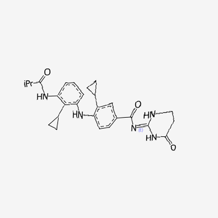 CC(C)C(=O)Nc1cccc(Nc2ccc(C(=O)/N=C3\NCCC(=O)N3)cc2C2CC2)c1C1CC1